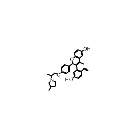 C=Cc1ccc(O)cc1C1=C(C)c2cc(O)ccc2OC1c1ccc(OCC(C)N2CCC(C)C2)cc1